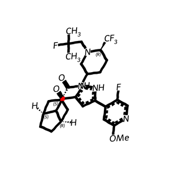 COc1cc(-c2cc(C(=O)C3[C@@H]4CC[C@H]3C[C@H](C(=O)NC3CC[C@H](C(F)(F)F)N(CC(C)(C)F)C3)C4)n[nH]2)c(F)cn1